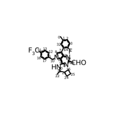 Cc1ccc(F)c(-c2cn(Cc3ccc(C(F)(F)F)cc3)c3c(NC(C)C4CCC4)nc(C=O)nc23)c1